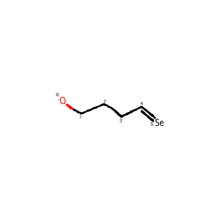 [O]CCCC=[Se]